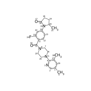 Cc1cnc(N2CCN(C(=O)c3ccc(N4C(=O)CCC4C)cc3F)CC2)c(C)c1